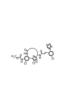 COC(=O)Nc1cc2c(cc1Cl)-c1nc([nH]c1Cl)C(NC(=O)/C=C/c1cc(Cl)ccc1-n1cnnn1)CCCCCC(=O)N2